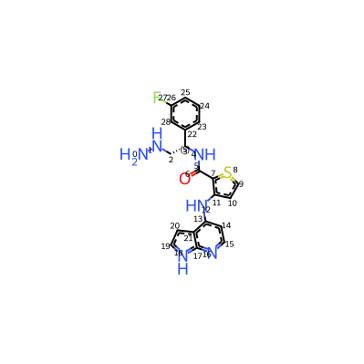 NNC[C@@H](NC(=O)c1sccc1Nc1ccnc2[nH]ccc12)c1cccc(F)c1